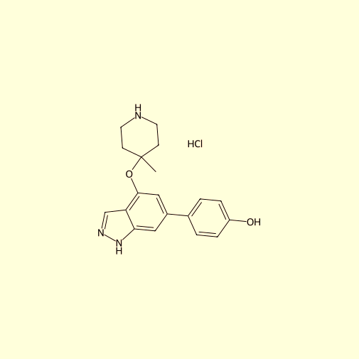 CC1(Oc2cc(-c3ccc(O)cc3)cc3[nH]ncc23)CCNCC1.Cl